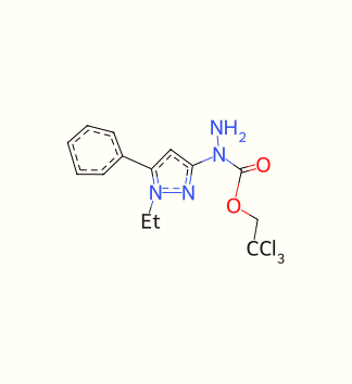 CCn1nc(N(N)C(=O)OCC(Cl)(Cl)Cl)cc1-c1ccccc1